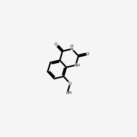 CCCOc1cccc2c(=O)[nH]c(=O)[nH]c12